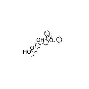 CCC(=Cc1ccc(O)c(-c2ccc(OCc3ccccc3)c(C34CC5CC(CC(C5)C3)C4)c2)c1)C(=O)O